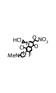 CN[C@@H]1CCN(c2c(F)cc3c(=O)c(C(=O)C[N+](=O)[O-])cn(C4CC4)c3c2Cl)C1.Cl